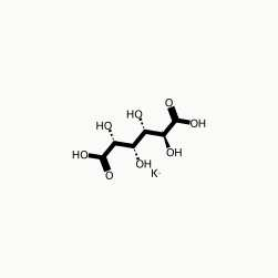 O=C(O)[C@@H](O)[C@@H](O)[C@H](O)[C@@H](O)C(=O)O.[K]